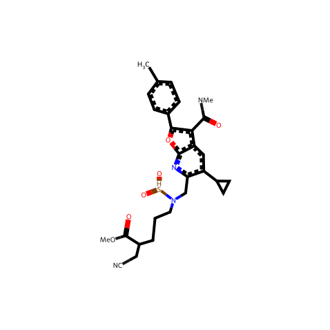 CNC(=O)c1c(-c2ccc(C)cc2)oc2nc(CN(CCCC(CC#N)C(=O)OC)[SH](=O)=O)c(C3CC3)cc12